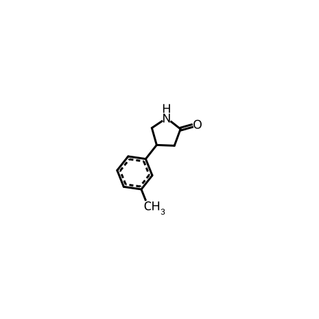 Cc1cccc(C2CNC(=O)C2)c1